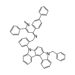 C=N/C(=C\C(=N/Cc1ccccc1-n1c2ccccc2c2c3c4ccccc4n(Cc4ccccc4)c3ccc21)c1ccc(-c2ccccc2)cc1)c1ccccc1